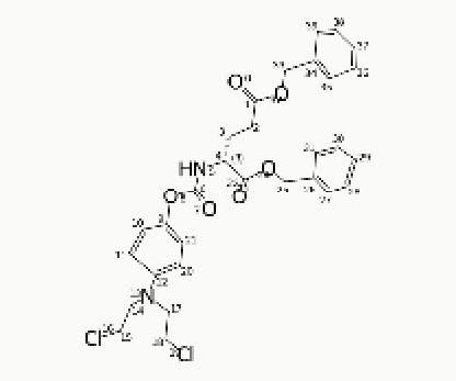 O=C(CC[C@@H](NC(=O)Oc1ccc(N(CCCl)CCCl)cc1)C(=O)OCc1ccccc1)OCc1ccccc1